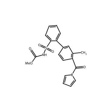 COC(=O)NS(=O)(=O)c1ccccc1-c1ccc(C(=O)B2C=CC=C2)c(C)c1